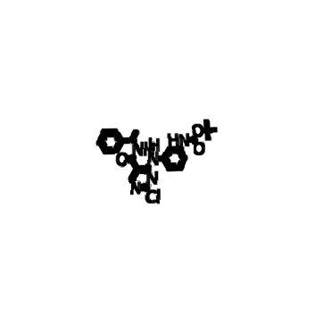 CC(NC(=O)c1cnc(Cl)nc1Nc1cccc(NC(=O)OC(C)(C)C)c1)c1ccccc1